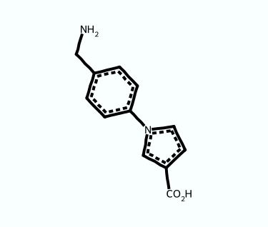 NCc1ccc(-n2ccc(C(=O)O)c2)cc1